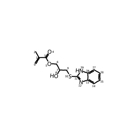 C=C(C)C(=O)OCC(O)CSc1nc2ccccc2[nH]1